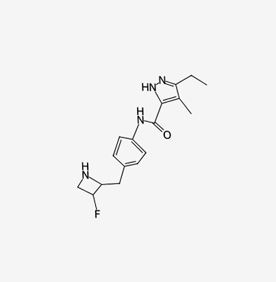 CCc1n[nH]c(C(=O)Nc2ccc(CC3NCC3F)cc2)c1C